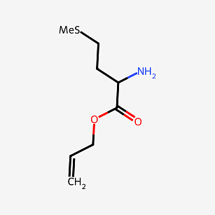 C=CCOC(=O)C(N)CCSC